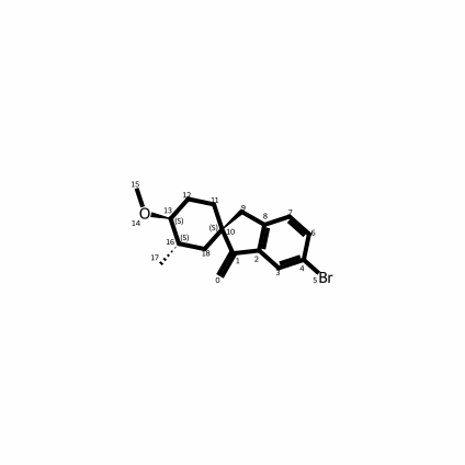 C=C1c2cc(Br)ccc2C[C@@]12CC[C@H](OC)[C@@H](C)C2